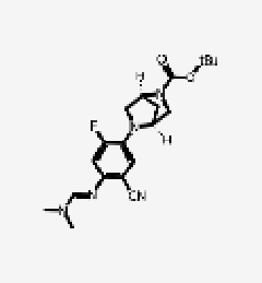 CN(C)/C=N/c1cc(F)c(N2C[C@@H]3C[C@H]2CN3C(=O)OC(C)(C)C)cc1C#N